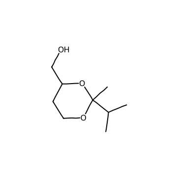 CC(C)C1(C)OCCC(CO)O1